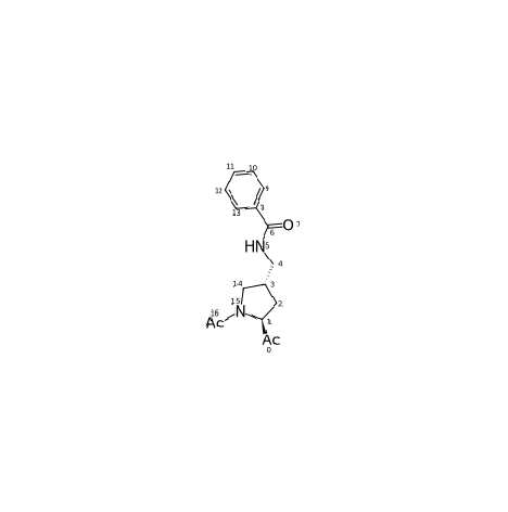 CC(=O)[C@@H]1C[C@@H](CNC(=O)c2ccccc2)CN1C(C)=O